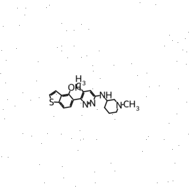 Cc1cc(NC2CCCN(C)C2)nnc1-c1ccc2sccc2c1O